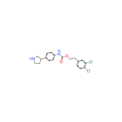 O=C(Nc1ccc(C2CCNC2)cc1)OCCc1ccc(Cl)c(Cl)c1